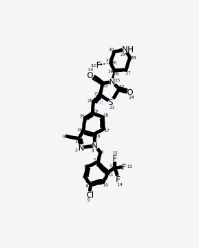 Cc1nn(Cc2ccc(Cl)cc2C(F)(F)F)c2ccc(/C=C3\SC(=O)N([C@@H]4CCNC[C@H]4F)C3=O)cc12